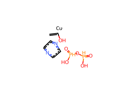 C=CO.O=[PH](O)O[PH](=O)O.[Cu].c1cnccn1